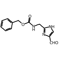 O=Cc1c[nH]c(CNC(=O)OCc2ccccc2)n1